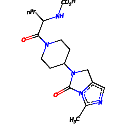 CCCC(NC(=O)O)C(=O)N1CCC(N2Cc3cnc(C)n3C2=O)CC1